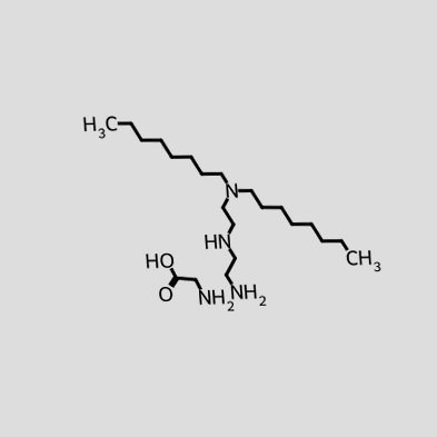 CCCCCCCCN(CCCCCCCC)CCNCCN.NCC(=O)O